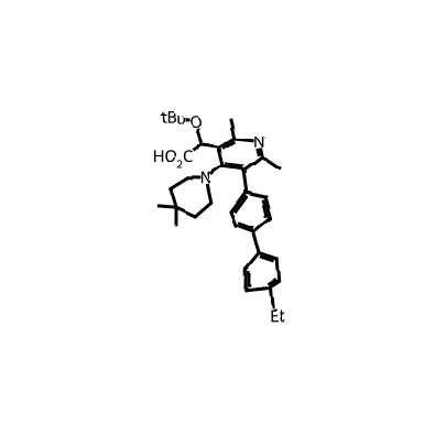 CCc1ccc(-c2ccc(-c3c(C)nc(C)c(C(OC(C)(C)C)C(=O)O)c3N3CCC(C)(C)CC3)cc2)cc1